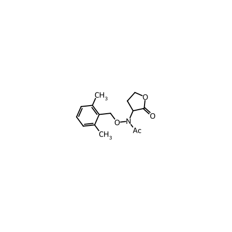 CC(=O)N(OCc1c(C)cccc1C)C1CCOC1=O